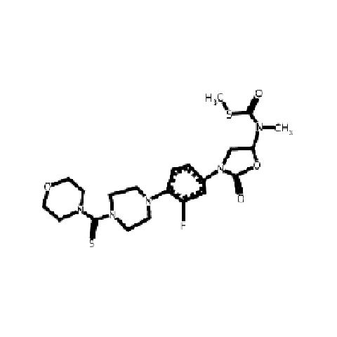 CSC(=O)N(C)C1CN(c2ccc(N3CCN(C(=S)N4CCOCC4)CC3)c(F)c2)C(=O)O1